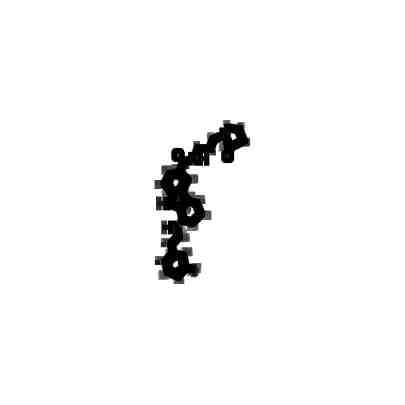 O=C(NCCCN1CCCC1=O)c1ccc2[nH]c3c(c2c1)CCCC3NCCc1cccc(F)c1